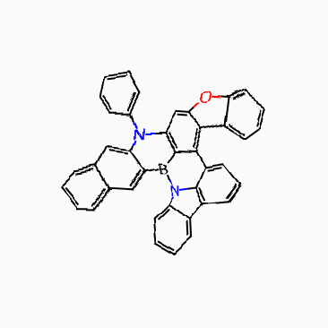 c1ccc(N2c3cc4ccccc4cc3B3c4c2cc2oc5ccccc5c2c4-c2cccc4c5ccccc5n3c24)cc1